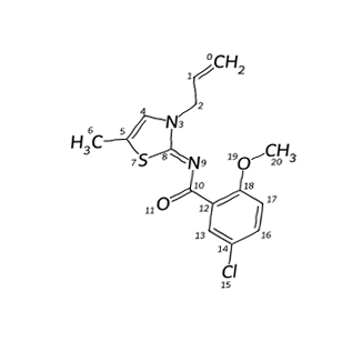 C=CCn1cc(C)s/c1=N\C(=O)c1cc(Cl)ccc1OC